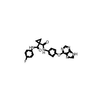 O=C(Nc1ccc(F)cc1)C1(C(=O)Nc2ccc(Oc3ncnc4[nH]cnc34)cc2)CC1